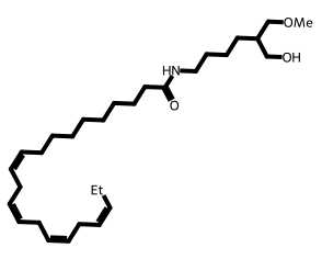 CC/C=C\C/C=C\C/C=C\C/C=C\CCCCCCCCC(=O)NCCCCC(CO)COC